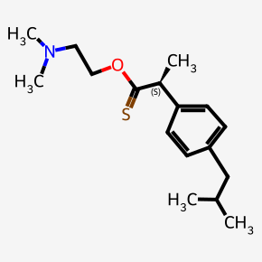 CC(C)Cc1ccc([C@H](C)C(=S)OCCN(C)C)cc1